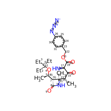 CC[Si](CC)(CC)O[C@H](C)[C@H]1C(=O)N[C@]1(C)[C@@H](C)C(=O)C(=N)C(=O)OCc1ccc(N=[N+]=[N-])cc1